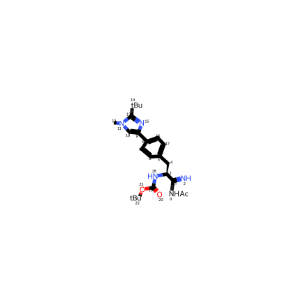 CC(=O)NC(=N)[C@H](Cc1ccc(-c2cn(C)c(C(C)(C)C)n2)cc1)NC(=O)OC(C)(C)C